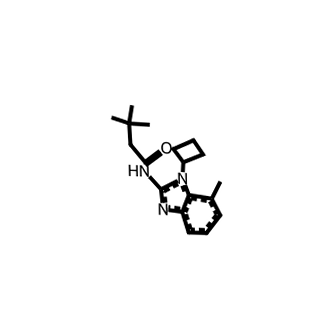 Cc1cccc2nc(NC(=O)CC(C)(C)C)n(C3CCC3)c12